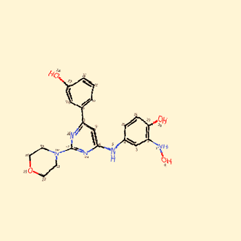 ONc1cc(Nc2cc(-c3cccc(O)c3)nc(N3CCOCC3)n2)ccc1O